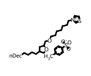 CCCCCCCCCCCCCCC1COC(COCCCCCCC[n+]2ccsc2)C1.Cc1ccc(S(=O)(=O)[O-])cc1